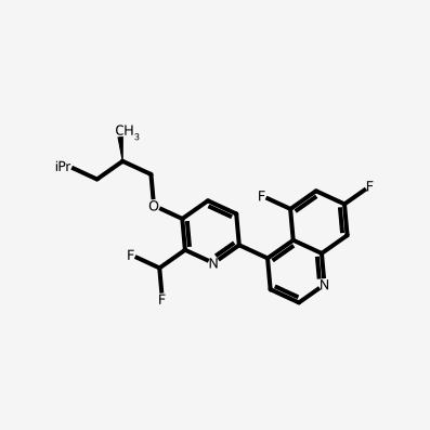 CC(C)C[C@@H](C)COc1ccc(-c2ccnc3cc(F)cc(F)c23)nc1C(F)F